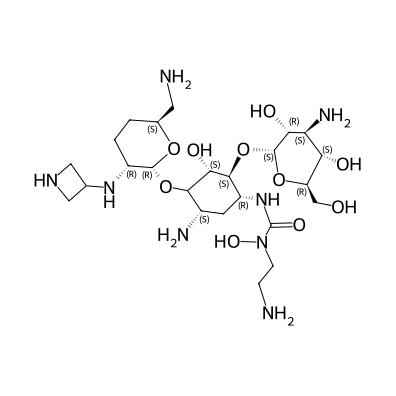 NCCN(O)C(=O)N[C@@H]1C[C@H](N)C(O[C@H]2O[C@H](CN)CC[C@H]2NC2CNC2)[C@H](O)[C@H]1O[C@H]1O[C@H](CO)[C@@H](O)[C@H](N)[C@H]1O